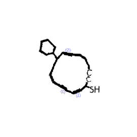 SC1/C=C\C=C/CCCC(C2CCCCC2)/C=C\CCCCC1